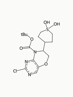 CC(C)(C)OC(=O)N1c2nc(Cl)ncc2OCC1C1CCS(O)(O)CC1